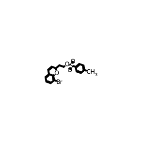 Cc1ccc(S(=O)(=O)OCCC2C=Cc3cccc(Br)c3O2)cc1